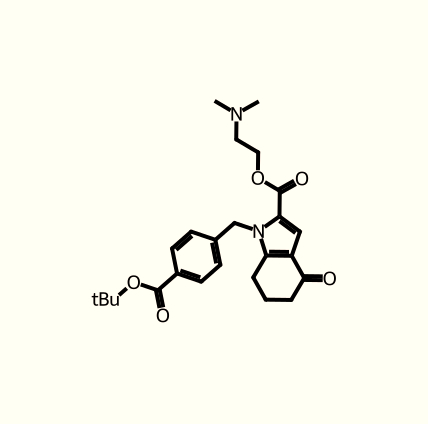 CN(C)CCOC(=O)c1cc2c(n1Cc1ccc(C(=O)OC(C)(C)C)cc1)CCCC2=O